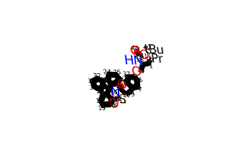 CC(C)CC(COc1ccc(CC2SC(=O)N(C(c3ccccc3)(c3ccccc3)c3ccccc3)C2=O)cc1)NC(=O)OC(C)(C)C